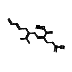 C=CC=CCC(CC=C(CCNCC)C(=C)OC)=C(C)C